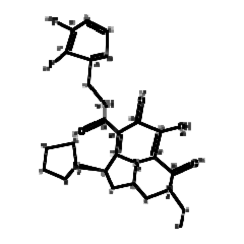 CCN1CC2C[C@@H](N3CCCC3)c3c(C(=O)NCc4cccc(F)c4F)c(=O)c(O)c(n32)C1=O